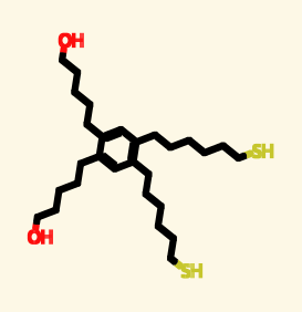 OCCCCCc1cc(CCCCCCS)c(CCCCCCS)cc1CCCCCO